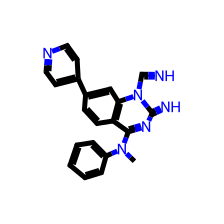 CN(c1ccccc1)c1nc(=N)n(C=N)c2cc(-c3ccncc3)ccc12